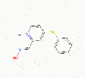 C[n+]1ccc(Sc2ccccc2)cc1/C=N/O.[I-]